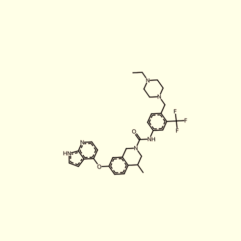 CCN1CCN(Cc2ccc(NC(=O)N3Cc4cc(Oc5ccnc6[nH]ccc56)ccc4C(C)C3)cc2C(F)(F)F)CC1